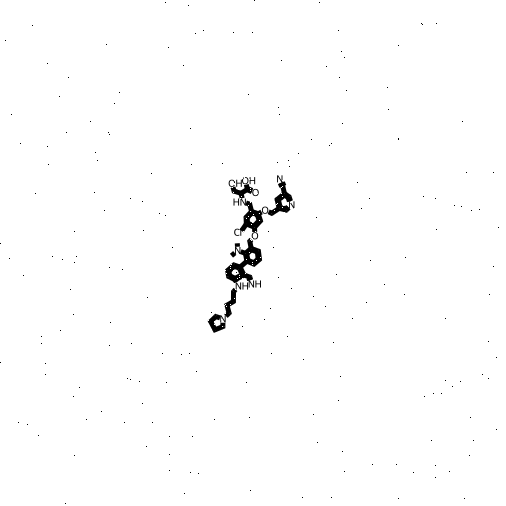 CN(C)c1c(COc2cc(OCc3cncc(C#N)c3)c(CNC(CO)C(=O)O)cc2Cl)cccc1-c1cccc(NCCCCN2CCCC2)c1C=N